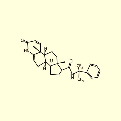 C[C@]12C=CC(=O)NC1=CC[C@@H]1[C@H]2CC[C@]2(C)C(C(=O)NC(c3ccccc3)(C(F)(F)F)C(F)(F)F)CC[C@@H]12